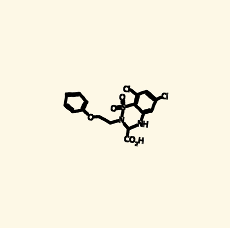 O=C(O)C1Nc2cc(Cl)cc(Cl)c2S(=O)(=O)N1CCOc1ccccc1